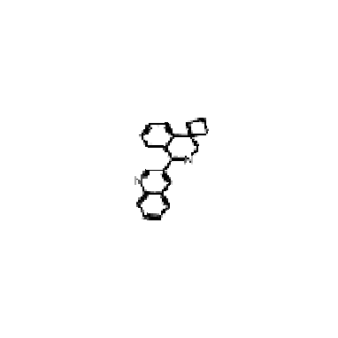 c1ccc2c(c1)C(c1cnc3ccccc3c1)=NCC21CCC1